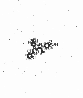 CC1(C)[C@@H]2C[C@@H](N(CC(=O)c3c(Cl)cccc3Cl)C(=O)c3cnn([C@H]4CC[C@](C)(C(=O)O)CC4)c3C3CC3)C[C@@H]21